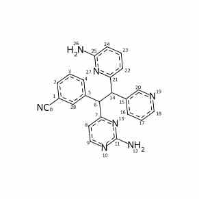 N#Cc1cccc(C(c2ccnc(N)n2)C(c2cccnc2)c2cccc(N)n2)c1